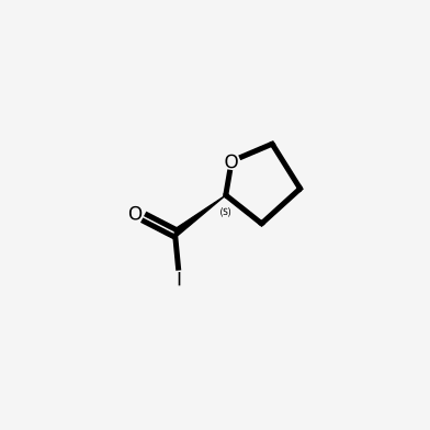 O=C(I)[C@@H]1CCCO1